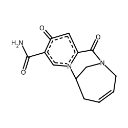 NC(=O)c1cn2c(cc1=O)C(=O)N1CC=CCC2C1